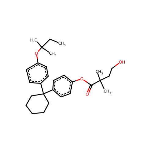 CCC(C)(C)Oc1ccc(C2(c3ccc(OC(=O)C(C)(C)CCO)cc3)CCCCC2)cc1